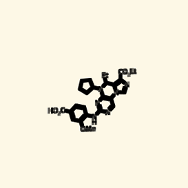 CCOC(=O)c1ncn2c1C(CC)N(C1CCCC1)c1nc(Nc3ccc(C(=O)O)cc3OC)ncc1-2